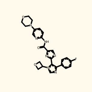 O=C(Nc1ccc(N2CCOCC2)cn1)c1csc(-c2c(-c3ccc(F)cc3)ncn2C2COC2)n1